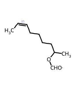 C/C=C\CCCCC(C)O[C]=O